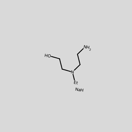 CCN(CCN)CCO.[NaH]